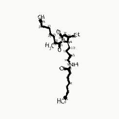 C#CCCCCCC(=O)NCCCC[C@@H]1C(CC)=CC(=O)N1C(=O)[C@H](C)CCCCC#C